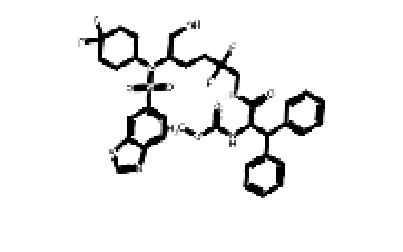 COC(=O)NC(C(=O)NCC(F)(F)CCC(CO)N(C1CCC(F)(F)CC1)S(=O)(=O)c1ccc2ncsc2c1)C(c1ccccc1)c1ccccc1